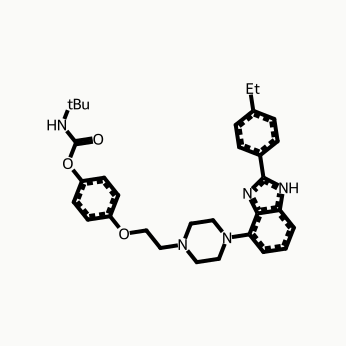 CCc1ccc(-c2nc3c(N4CCN(CCOc5ccc(OC(=O)NC(C)(C)C)cc5)CC4)cccc3[nH]2)cc1